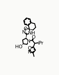 Cc1cc(C(C(=O)N2C[C@H](O)C[C@H]2C2=NO[C@@]3(CCCc4ccccc43)N2)C(C)C)on1